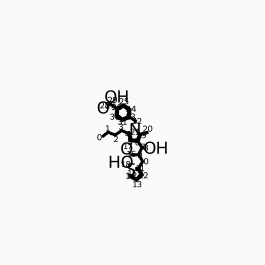 CCCCc1cc(C(O)C(Cc2cccs2)C(=O)O)c(C)n1Cc1ccc(C(=O)O)cc1